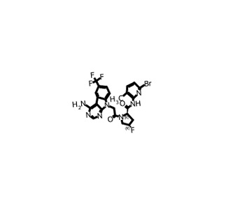 Cc1ccc(Br)nc1NC(=O)[C@H]1C[C@@H](F)CN1C(=O)Cn1c2ccc(C(F)(F)F)cc2c2c(N)ncnc21